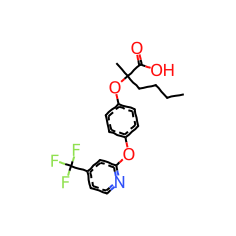 CCCCC(C)(Oc1ccc(Oc2cc(C(F)(F)F)ccn2)cc1)C(=O)O